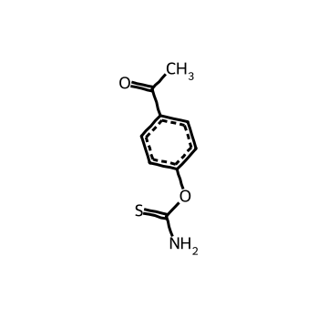 CC(=O)c1ccc(OC(N)=S)cc1